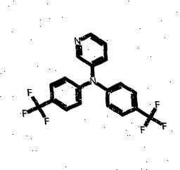 FC(F)(F)c1ccc(N(c2ccc(C(F)(F)F)cc2)c2cccnc2)cc1